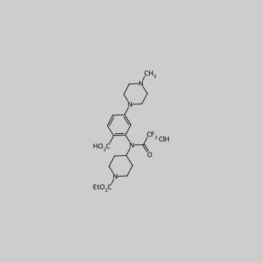 CCOC(=O)N1CCC(N(C(=O)C(F)(F)F)c2cc(N3CCN(C)CC3)ccc2C(=O)O)CC1.Cl